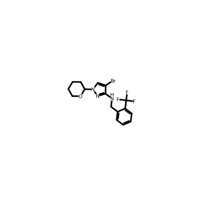 FC(F)(F)c1ccccc1CNc1nn(C2CCCCO2)cc1Br